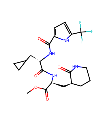 COC(=O)[C@H](C[C@@H]1CCCNC1=O)NC(=O)[C@H](CC1CC1)NC(=O)c1ccc(C(F)(F)F)[nH]1